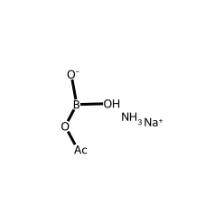 CC(=O)OB([O-])O.N.[Na+]